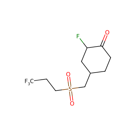 O=C1CCC(CS(=O)(=O)CCC(F)(F)F)CC1F